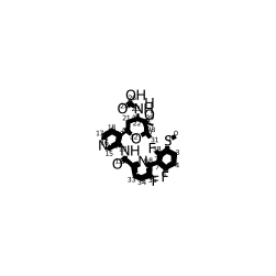 CSc1ccc(F)c(-c2nc(C(=O)Nc3cnccc3[C@H]3C[C@@H](NC(=O)O)[C@](C)(O)C(C)O3)ccc2F)c1F